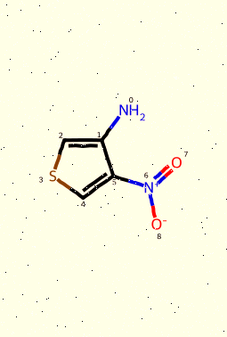 Nc1cscc1[N+](=O)[O-]